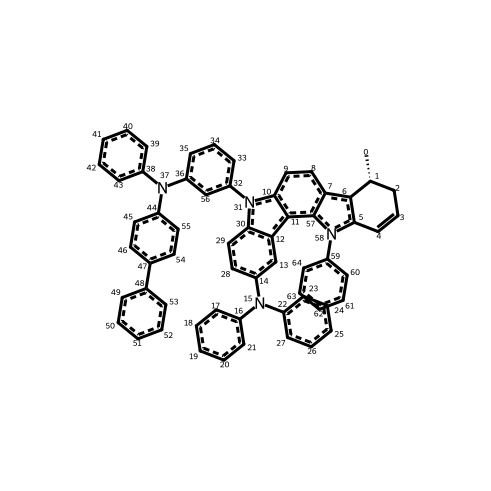 C[C@@H]1CC=Cc2c1c1ccc3c(c4cc(N(c5ccccc5)c5ccccc5)ccc4n3-c3cccc(N(c4ccccc4)c4ccc(-c5ccccc5)cc4)c3)c1n2-c1ccccc1